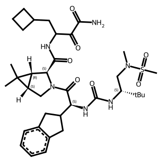 CN(C[C@@H](NC(=O)N[C@H](C(=O)N1C[C@H]2[C@@H]([C@H]1C(=O)NC(CC1CCC1)C(=O)C(N)=O)C2(C)C)C1Cc2ccccc2C1)C(C)(C)C)S(C)(=O)=O